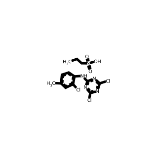 CCCS(=O)(=O)O.Cc1ccc(Nc2nc(Cl)nc(Cl)n2)c(Cl)c1